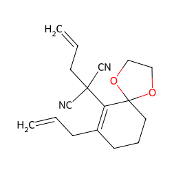 C=CCC1=C(C(C#N)(C#N)CC=C)C2(CCC1)OCCO2